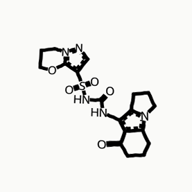 O=C(Nc1c2c(n3c1CCC3)CCCC2=O)NS(=O)(=O)c1cnn2c1OCCC2